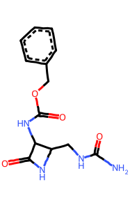 NC(=O)NCC1NC(=O)C1NC(=O)OCc1ccccc1